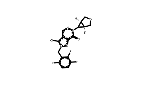 O=c1c2nn(Cc3c(F)ccc(F)c3F)c(Cl)c2cnn1C1[C@H]2COC[C@@H]12